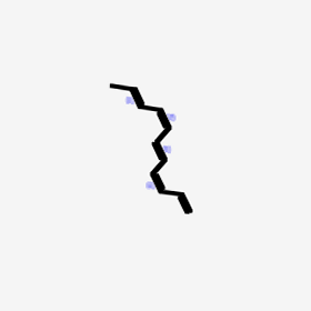 C=C\C=C/C=C/C=C\C=C\C